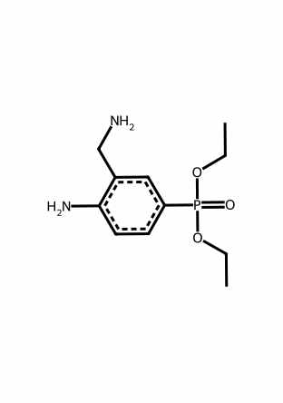 CCOP(=O)(OCC)c1ccc(N)c(CN)c1